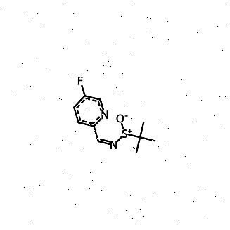 CC(C)(C)[S+]([O-])/N=C\c1ccc(F)cn1